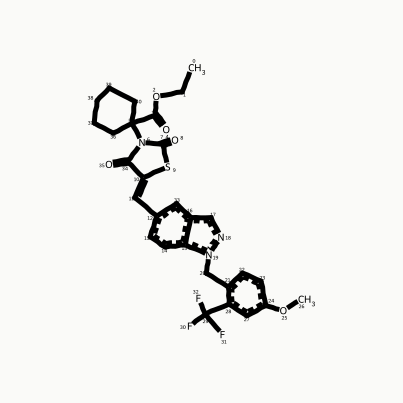 CCOC(=O)C1(N2C(=O)SC(=Cc3ccc4c(cnn4Cc4ccc(OC)cc4C(F)(F)F)c3)C2=O)CCCCC1